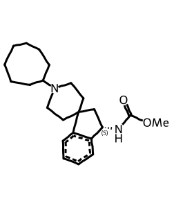 COC(=O)N[C@H]1CC2(CCN(C3CCCCCCC3)CC2)c2ccccc21